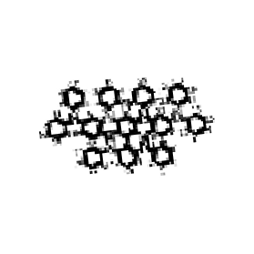 c1ccc(N2B3c4ccc(N(c5ccccc5)c5ccccc5)cc4N4c5ccccc5B5c6ccccc6N6c7cc(N(c8ccccc8)c8ccccc8)ccc7B7c8c(c3c4c5c86)-c3c2cccc3N7c2ccccc2)cc1